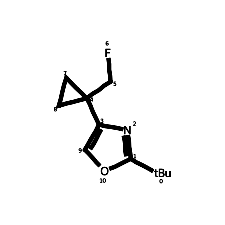 CC(C)(C)c1nc(C2(CF)CC2)co1